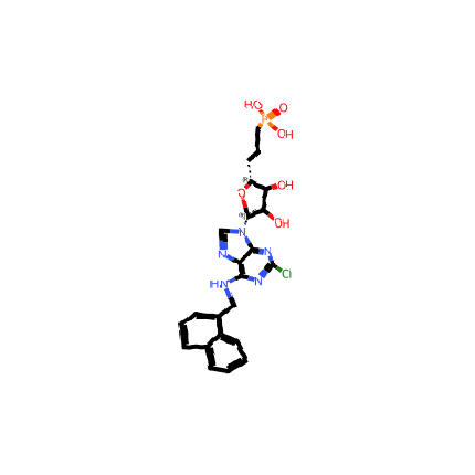 O=P(O)(O)CCC[C@H]1O[C@@H](n2cnc3c(NCc4cccc5ccccc45)nc(Cl)nc32)C(O)C1O